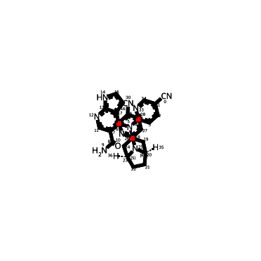 N#Cc1ccc(N(c2c(C(N)=O)cnc3[nH]ccc23)[C@H]2C[C@H]3CC[C@@H](C2)N3c2ccc(C#N)cn2)nc1